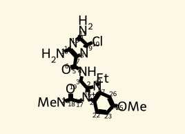 CCn1c(CNC(=O)c2nc(Cl)c(N)nc2N)[n+](CC(=O)NC)c2ccc(OC)cc21